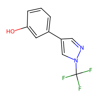 Oc1cccc(-c2cnn(C(F)(F)F)c2)c1